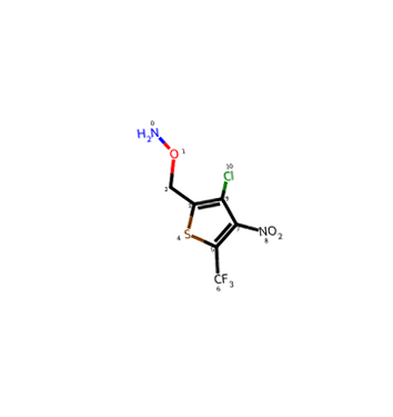 NOCc1sc(C(F)(F)F)c([N+](=O)[O-])c1Cl